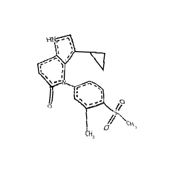 Cc1cc(-n2c(=O)ccc3[nH]cc(C4CC4)c32)ccc1S(C)(=O)=O